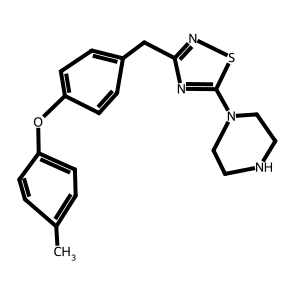 Cc1ccc(Oc2ccc(Cc3nsc(N4CCNCC4)n3)cc2)cc1